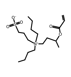 C=CC(=O)OC(C)CC[N+](CCCC)(CCCC)CCCS(=O)(=O)[O-]